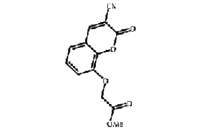 COC(=O)COc1cccc2cc(C#N)c(=O)oc12